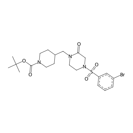 CC(C)(C)OC(=O)N1CCC(CN2CCN(S(=O)(=O)c3cccc(Br)c3)CC2=O)CC1